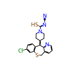 N#C/N=C(\S)N1CCC(=C2c3ccc(Cl)cc3SCc3cccnc32)CC1